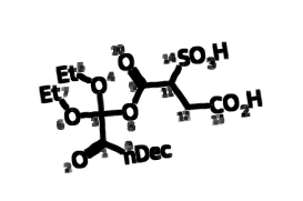 CCCCCCCCCCC(=O)C(OCC)(OCC)OC(=O)C(CC(=O)O)S(=O)(=O)O